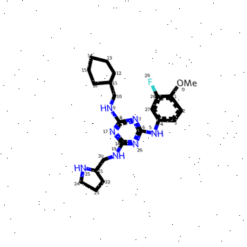 COc1ccc(Nc2nc(NCC3CCCCC3)nc(NCC3CCCN3)n2)cc1F